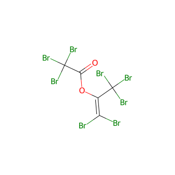 O=C(OC(=C(Br)Br)C(Br)(Br)Br)C(Br)(Br)Br